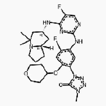 Cn1nnn(-c2cc(Nc3ncc(F)c(N[C@@H]4C[C@@H]5CCCN5C(C)(C)C4)n3)c(F)cc2OC2CCOCC2)c1=O